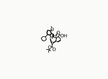 CC[C@]1(C(=O)O)CC=CC2=C3C(=Cn4c(cc5c(OC)ccc(C6CCCCC6)c54)[C@@H]21)C3C(=O)OC(C)(C)C